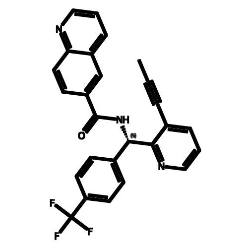 CC#Cc1cccnc1[C@@H](NC(=O)c1ccc2ncccc2c1)c1ccc(C(F)(F)F)cc1